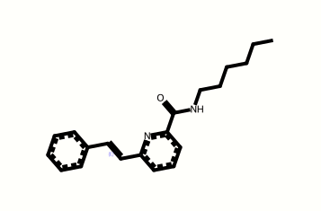 CCCCCCNC(=O)c1cccc(/C=C/c2ccccc2)n1